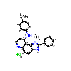 COc1ccc(Nc2ccnc3ccc4nc(-c5ccccc5)n(C)c4c23)cc1.Cl